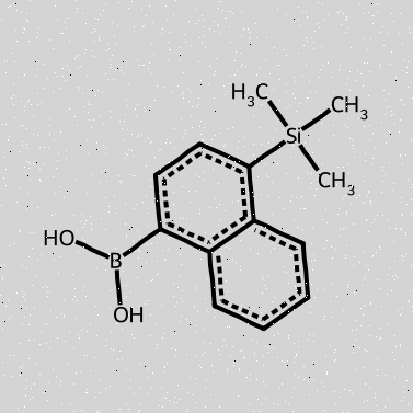 C[Si](C)(C)c1ccc(B(O)O)c2ccccc12